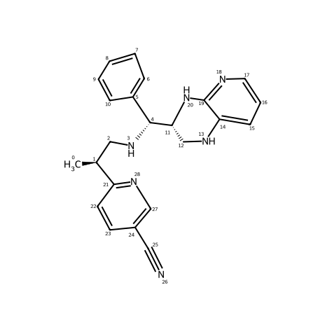 C[C@@H](CN[C@H](c1ccccc1)[C@H]1CNc2cccnc2N1)c1ccc(C#N)cn1